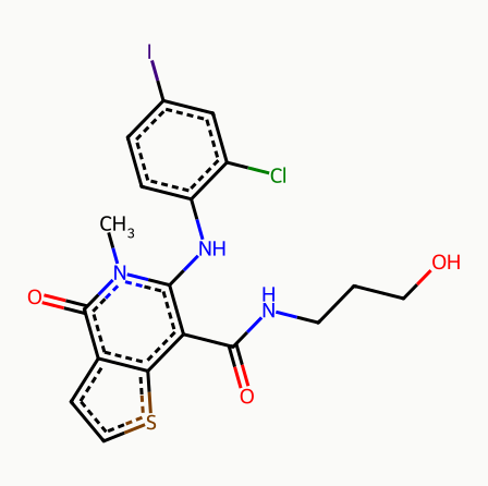 Cn1c(Nc2ccc(I)cc2Cl)c(C(=O)NCCCO)c2sccc2c1=O